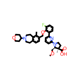 COC[C@H]1N(c2cccc(-c3cccc(F)c3OCc3ccc4c(c3C)CCN(C3CCOCC3)CC4)n2)CC[C@@]1(C)C(=O)O